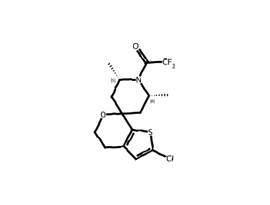 C[C@@H]1CC2(C[C@H](C)N1C(=O)C(F)(F)F)OCCc1cc(Cl)sc12